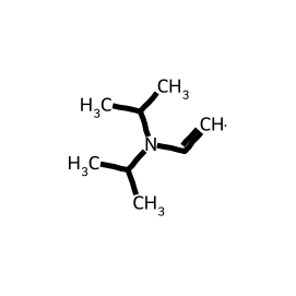 [CH]=CN(C(C)C)C(C)C